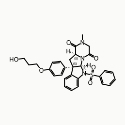 CN1CC(=O)N2[C@@H](C[C@]3(c4ccc(OCCCO)cc4)c4ccccc4N(S(=O)(=O)c4ccccc4)[C@H]23)C1=O